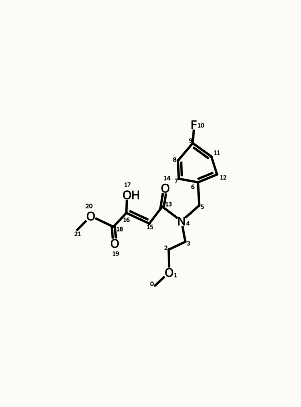 COCCN(Cc1ccc(F)cc1)C(=O)C=C(O)C(=O)OC